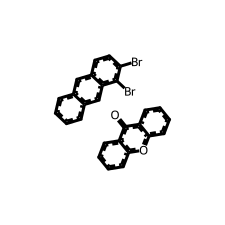 Brc1ccc2cc3ccccc3cc2c1Br.O=c1c2ccccc2oc2ccccc12